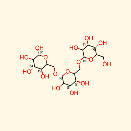 OCC1O[C@@H](OCC2O[C@@H](OCC3O[C@@H](O)C(O)[C@@H](O)[C@@H]3O)C(O)[C@@H](O)[C@@H]2O)C(O)[C@@H](O)[C@@H]1O